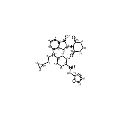 O=C1c2cccc(N(CCC3CC3)C3CCC(NCc4ncco4)CC3)c2CN1N1C(=O)CCCC1=O